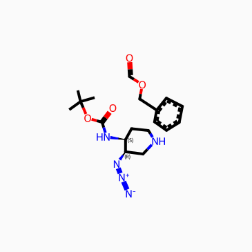 CC(C)(C)OC(=O)N[C@H]1CCNC[C@H]1N=[N+]=[N-].O=COCc1ccccc1